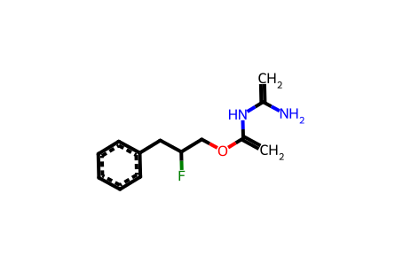 C=C(N)NC(=C)OCC(F)Cc1ccccc1